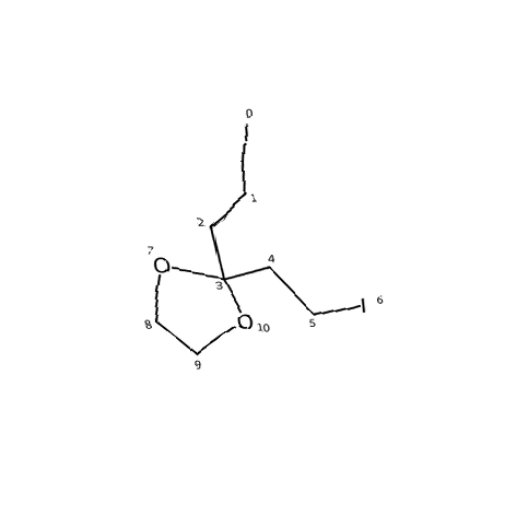 ICCC1(CCI)OCCO1